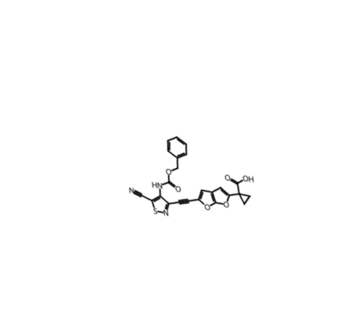 N#Cc1snc(C#Cc2cc3cc(C4(C(=O)O)CC4)oc3o2)c1NC(=O)OCc1ccccc1